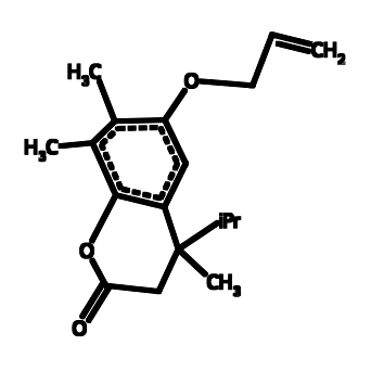 C=CCOc1cc2c(c(C)c1C)OC(=O)CC2(C)C(C)C